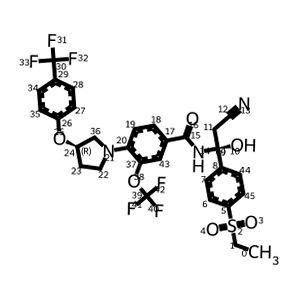 CCS(=O)(=O)c1ccc([C@@](O)(CC#N)NC(=O)c2ccc(N3CC[C@@H](Oc4ccc(C(F)(F)F)cc4)C3)c(OC(F)(F)F)c2)cc1